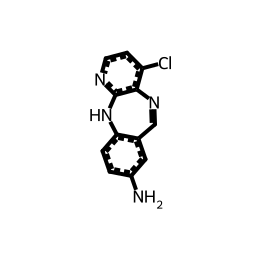 Nc1ccc2c(c1)C=Nc1c(Cl)ccnc1N2